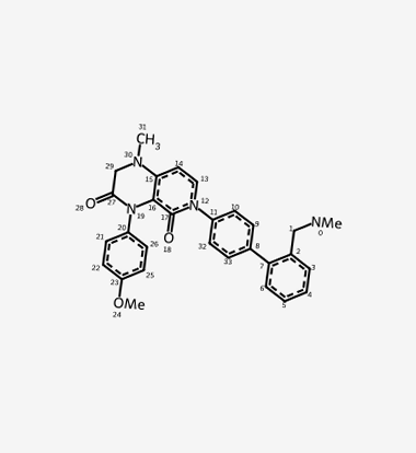 CNCc1ccccc1-c1ccc(-n2ccc3c(c2=O)N(c2ccc(OC)cc2)C(=O)CN3C)cc1